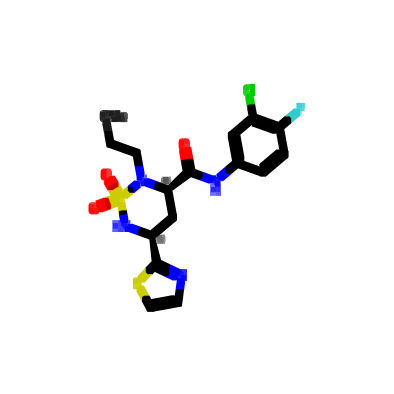 COCCN1[C@@H](C(=O)Nc2ccc(F)c(Cl)c2)C[C@@H](c2nccs2)NS1(=O)=O